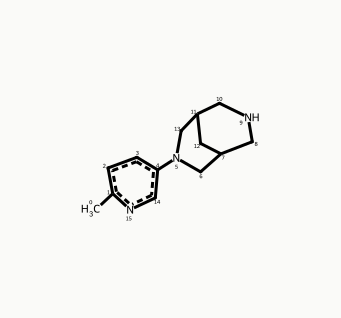 Cc1ccc(N2CC3CNCC(C3)C2)cn1